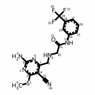 CSc1nc(N)nc(CNCC(=O)Nc2cccc(C(F)(F)F)c2)c1C#N